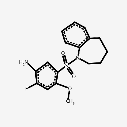 COc1cc(F)c(N)cc1S(=O)(=O)N1CCCCc2ccccc21